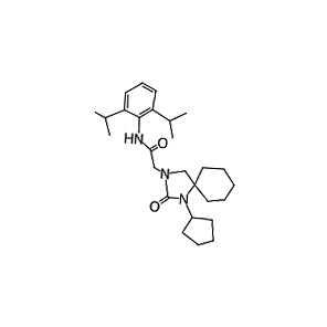 CC(C)c1cccc(C(C)C)c1NC(=O)CN1CC2(CCCCC2)N(C2CCCC2)C1=O